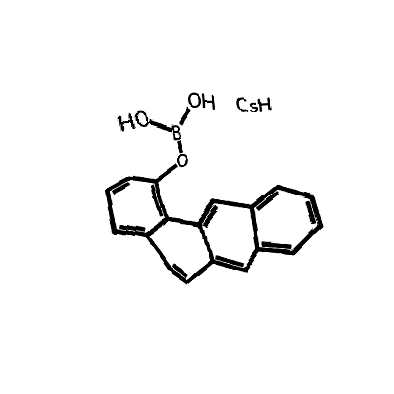 OB(O)Oc1cccc2ccc3cc4ccccc4cc3c12.[CsH]